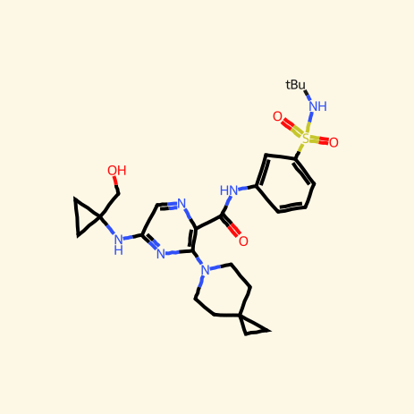 CC(C)(C)NS(=O)(=O)c1cccc(NC(=O)c2ncc(NC3(CO)CC3)nc2N2CCC3(CC2)CC3)c1